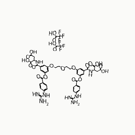 N=C(N)Nc1ccc(C(=O)Oc2cc(OCCOCCOc3cc(OC(=O)c4ccc(NC(=N)N)cc4)cc(C(=O)NC(CC(=O)O)C(=O)O)c3)cc(C(=O)NC(CC(=O)O)C(=O)O)c2)cc1.O=C(O)C(F)(F)F.O=C(O)C(F)(F)F